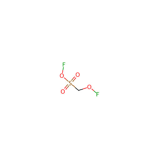 O=S(=O)(COF)OF